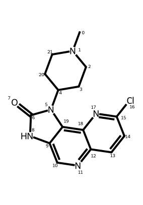 CN1CCC(n2c(=O)[nH]c3cnc4ccc(Cl)nc4c32)CC1